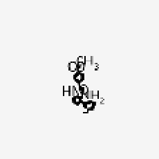 COC(=O)c1ccc(C(=O)Nc2cccc(-c3cccs3)c2N)cc1